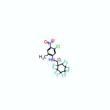 Cc1cc([N+](=O)[O-])c(Cl)cc1NC(=O)C1(F)C(F)(F)C(F)(F)C(F)(F)C(F)(F)C1(F)F